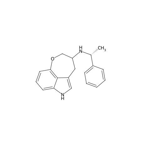 C[C@@H](NC1COc2cccc3[nH]cc(c23)C1)c1ccccc1